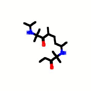 CCC(=O)C(C)(C)NC(C)CCC(C)C(=O)C(C)(C)NC(C)C